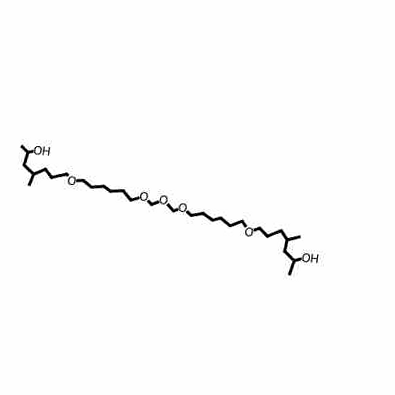 CC(O)CC(C)CCCOCCCCCCOCOCOCCCCCCOCCCC(C)CC(C)O